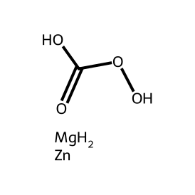 O=C(O)OO.[MgH2].[Zn]